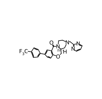 O=C1c2cc(-c3ccc(C(F)(F)F)cc3)ccc2OC[C@@H]2CN(Cc3ncccn3)CCN12